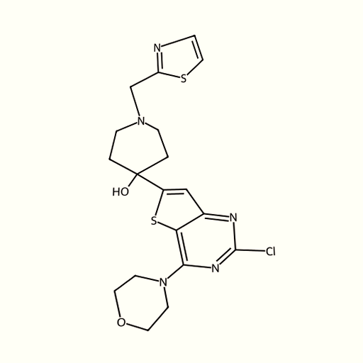 OC1(c2cc3nc(Cl)nc(N4CCOCC4)c3s2)CCN(Cc2nccs2)CC1